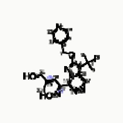 CC(C)(I)c1c(OCc2ccncc2)nn2c(C(/C=C(\I)CO)=N/O)nncc12